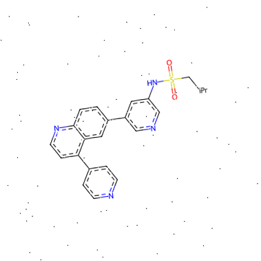 CC(C)CS(=O)(=O)Nc1cncc(-c2ccc3nccc(-c4ccncc4)c3c2)c1